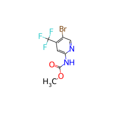 COC(=O)Nc1cc(C(F)(F)F)c(Br)cn1